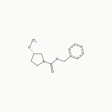 O=C(OCc1ccccc1)N1CC[C@H](OC(F)(F)F)C1